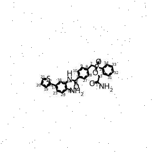 NC(=O)COP(=O)(Cc1ccc(C(=O)Nc2cc(-c3cccs3)ccc2N)cc1)c1ccccc1